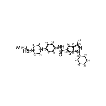 COBN1CCN(c2ccc(NC(=O)c3cc4c(C)nn(C5CCCCC5)c4s3)cc2)CC1